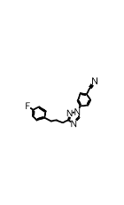 N#Cc1ccc(-n2cnc(CCCc3ccc(F)cc3)n2)cc1